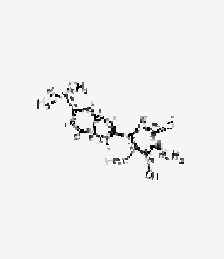 Cc1c(-c2cc3cc(N(C)C)ccc3o2)oc(=O)c(C)c1O